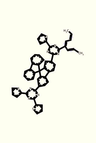 C\C=C/C=C(\C=C\C)c1nc(-c2ccc3c(c2)C2(c4ccccc4-c4ccccc42)c2cc(-c4nc(-c5cccs5)nc(-c5cccs5)n4)ccc2-3)nc(-c2cccs2)n1